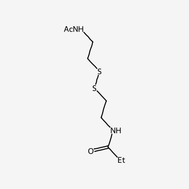 CCC(=O)NCCSSCCNC(C)=O